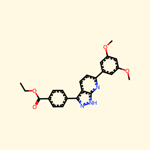 CCOC(=O)c1ccc(-c2n[nH]c3nc(-c4cc(OC)cc(OC)c4)ccc23)cc1